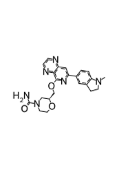 CN1CCc2cc(-c3cc4nccnc4c(OC[C@@H]4CN(C(N)=O)CCO4)n3)ccc21